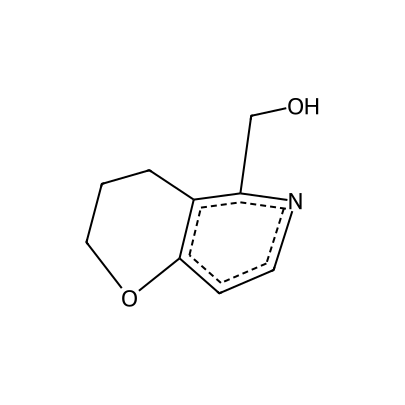 OCc1nccc2c1CCCO2